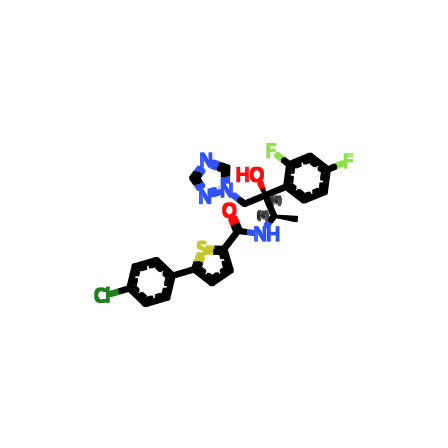 C[C@@H](NC(=O)c1ccc(-c2ccc(Cl)cc2)s1)[C@](O)(Cn1cncn1)c1ccc(F)cc1F